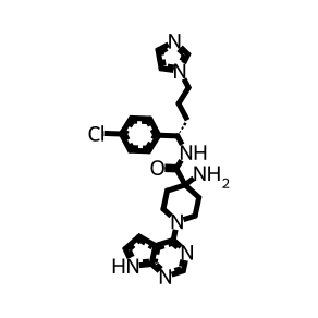 NC1(C(=O)N[C@@H](CCCn2ccnc2)c2ccc(Cl)cc2)CCN(c2ncnc3[nH]ccc23)CC1